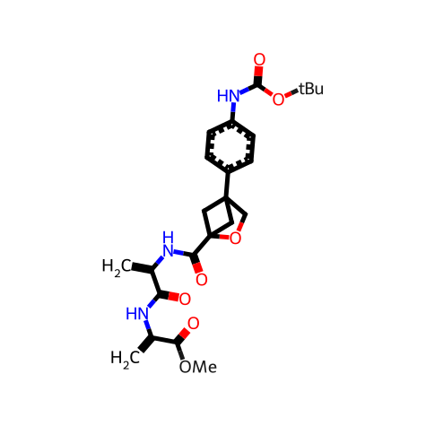 C=C(NC(=O)C12CC(c3ccc(NC(=O)OC(C)(C)C)cc3)(CO1)C2)C(=O)NC(=C)C(=O)OC